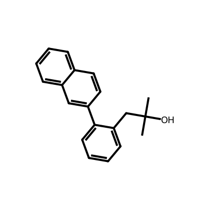 CC(C)(O)Cc1ccccc1-c1ccc2ccccc2c1